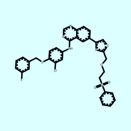 O=S(=O)(CCOCc1nc(-c2ccc3ncnc(Nc4ccc(OCc5cccc(F)c5)c(Cl)c4)c3c2)cs1)c1ccccc1